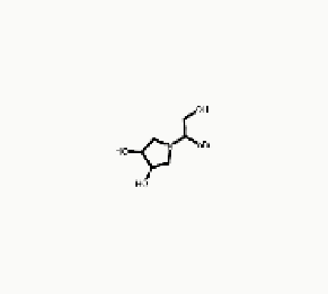 CCCCC(CO)N1CC(O)[C@H](O)C1